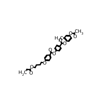 C=CC(=O)OCCCCOc1ccc(C(=O)Oc2ccc(C(=O)Oc3ccc(OC(C)=O)cc3C)cc2)cc1